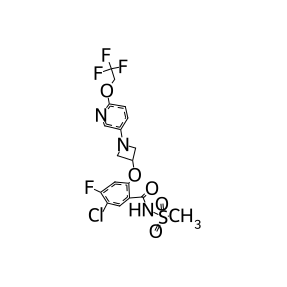 CS(=O)(=O)NC(=O)c1cc(Cl)c(F)cc1OC1CN(c2ccc(OCC(F)(F)F)nc2)C1